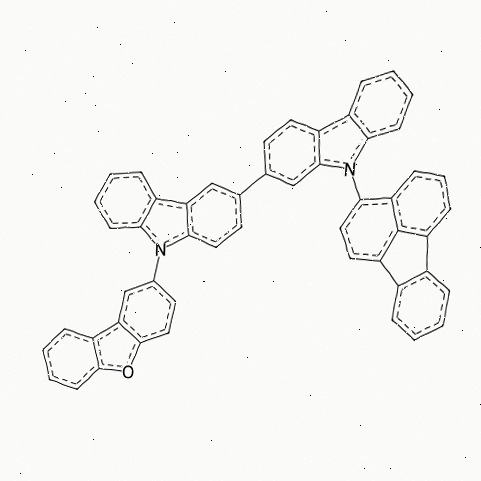 c1ccc2c(c1)-c1cccc3c(-n4c5ccccc5c5ccc(-c6ccc7c(c6)c6ccccc6n7-c6ccc7oc8ccccc8c7c6)cc54)ccc-2c13